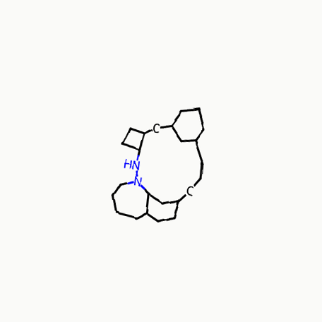 C1CC2CCCC3CCC4CCCCN(NC5CCC5CC(C1)C2)C4C3